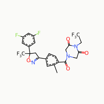 Cc1cc(C2=NOC(c3cc(F)cc(F)c3)(C(F)(F)F)C2)ccc1C(=O)N1CC(=O)N(CC(F)(F)F)C(=O)C1